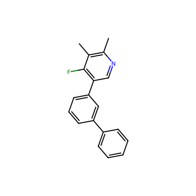 Cc1ncc(-c2cccc(-c3ccccc3)c2)c(F)c1C